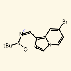 CC(C)(C)[S+]([O-])/N=C\c1ncn2ccc(Br)cc12